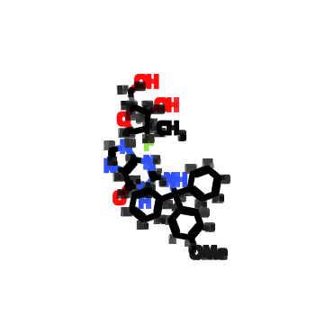 COc1ccc(C(Nc2nc3c(ncn3[C@@H]3O[C@H](CO)[C@@H](O)[C@@]3(C)F)c(=O)[nH]2)(c2ccccc2)c2ccccc2)cc1